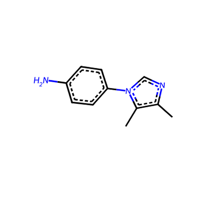 Cc1ncn(-c2ccc(N)cc2)c1C